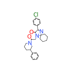 O=C(CN1C(=O)C(c2ccc(Cl)cc2)=NC12CCCCC2)N1CCCC(c2ccccc2)C1